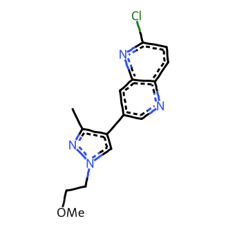 COCCn1cc(-c2cnc3ccc(Cl)nc3c2)c(C)n1